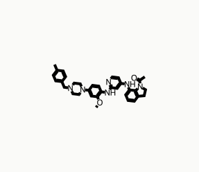 COc1cc(N2CCN(Cc3ccc(C)cc3)CC2)ccc1Nc1cc(Nc2cccc3c2N(C(C)=O)CC3)ccn1